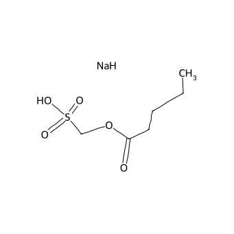 CCCCC(=O)OCS(=O)(=O)O.[NaH]